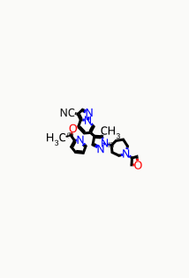 Cc1c(-c2cc(O[C@H](C)c3ccccn3)c3c(C#N)cnn3c2)cnn1[C@H]1CCCN(C2COC2)CC1